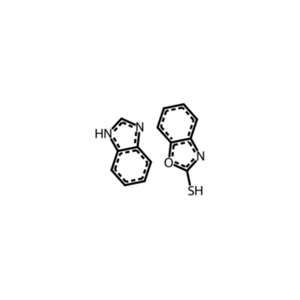 Sc1nc2ccccc2o1.c1ccc2[nH]cnc2c1